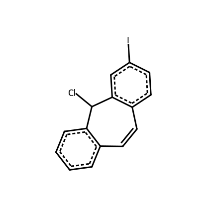 ClC1c2ccccc2C=Cc2ccc(I)cc21